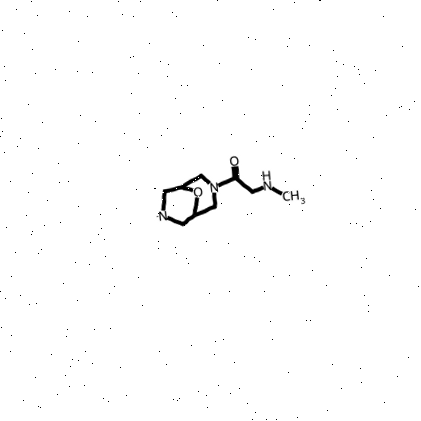 CNCC(=O)N1CC2C[N]CC(C1)O2